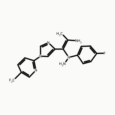 C/C(N)=C(\c1cn(-c2ccc(C(F)(F)F)cn2)cn1)N(N)c1ccc(F)cc1